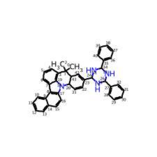 CC1(C)c2cccc3c4c5ccccc5ccc4n(c23)C2C=CC(C3NC(c4ccccc4)NC(c4ccccc4)N3)=CC21